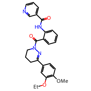 CCOc1cc(C2=NN(C(=O)c3ccccc3NC(=O)c3cccnc3)CCC2)ccc1OC